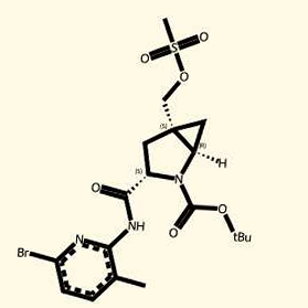 Cc1ccc(Br)nc1NC(=O)[C@@H]1C[C@@]2(COS(C)(=O)=O)C[C@H]2N1C(=O)OC(C)(C)C